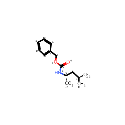 C[C@@H](C[C@@H](NC(=O)OCc1ccccc1)C(=O)O)C(F)(F)F